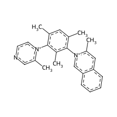 Cc1cc(C)c(-[n+]2cc3ccccc3cc2C)c(C)c1-[n+]1ccncc1C